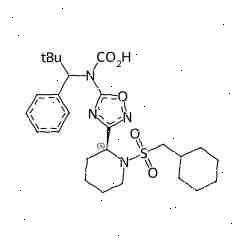 CC(C)(C)C(c1ccccc1)N(C(=O)O)c1nc([C@@H]2CCCCN2S(=O)(=O)CC2CCCCC2)no1